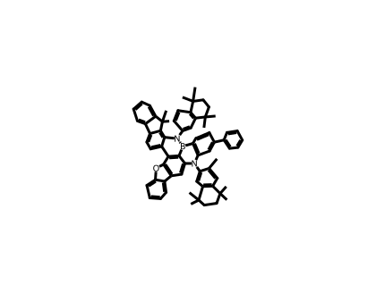 Cc1cc2c(cc1N1c3cc(-c4ccccc4)ccc3B3c4c1cc1c(oc5ccccc51)c4-c1ccc4c(c1N3c1ccc3c(c1)C(C)(C)CCC3(C)C)C(C)(C)c1ccccc1-4)C(C)(C)CCC2(C)C